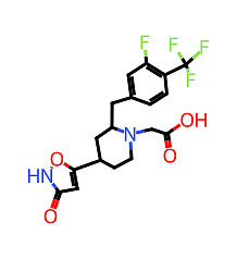 O=C(O)CN1CCC(c2cc(=O)[nH]o2)CC1Cc1ccc(C(F)(F)F)c(F)c1